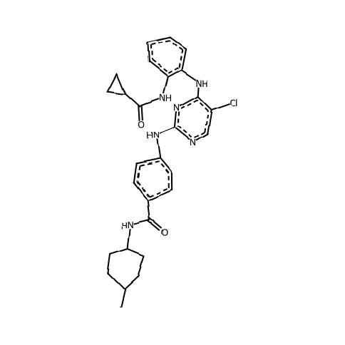 CC1CCC(NC(=O)c2ccc(Nc3ncc(Cl)c(Nc4ccccc4NC(=O)C4CC4)n3)cc2)CC1